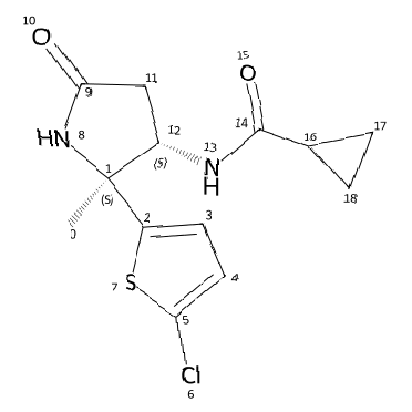 C[C@]1(c2ccc(Cl)s2)NC(=O)C[C@@H]1NC(=O)C1CC1